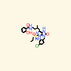 CCCS(=N)(=O)c1nc(CC(C)CCNC(=O)c2ccccc2O)c2[nH]c(=O)n(Cc3ccc(Cl)cc3)c2n1